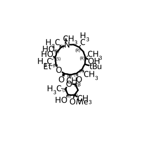 CC[C@H]1OC(=O)[C@H](C)[C@@H](O[C@H]2C[C@@](C)(OC)[C@@H](O)[C@H](C)O2)[C@H](C)C(C(C)(C)C)[C@](C)(O)C[C@@H](C)CN(C)[C@H](C)[C@@H](O)[C@]1(C)O